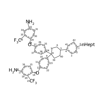 CCCCCCCc1ccc(C2CCC(c3ccc(Oc4ccc(N)cc4C(F)(F)F)cc3)(c3ccc(Oc4ccc(N)cc4C(F)(F)F)cc3)CC2)cc1